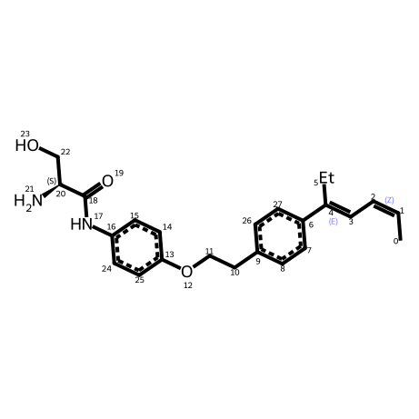 C/C=C\C=C(/CC)c1ccc(CCOc2ccc(NC(=O)[C@@H](N)CO)cc2)cc1